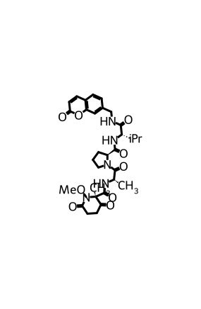 CON1C(=O)CCC(=O)[C@]1(C)C(=O)N[C@@H](C)C(=O)N1CCC[C@H]1C(=O)N[C@H](C(=O)NCc1ccc2ccc(=O)oc2c1)C(C)C